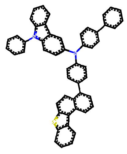 c1ccc(-c2ccc(N(c3ccc(-c4cccc5c4ccc4sc6ccccc6c45)cc3)c3ccc4c(c3)c3ccccc3n4-c3ccccc3)cc2)cc1